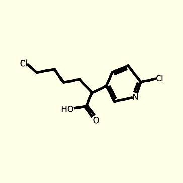 O=C(O)C(CCCCCl)c1ccc(Cl)nc1